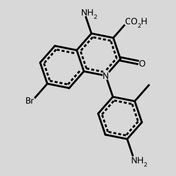 Cc1cc(N)ccc1-n1c(=O)c(C(=O)O)c(N)c2ccc(Br)cc21